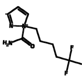 CC(F)(F)CCCC[N+]1(C(N)=O)C=C[C]=N1